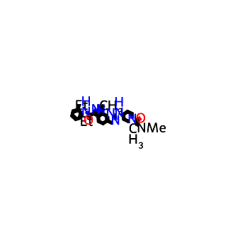 CCc1cccc(CC)c1NC(=O)c1nn(C)c2c1CCc1cnc(NC3CCN(C(=O)[C@H](C)NC)CC3)nc1-2